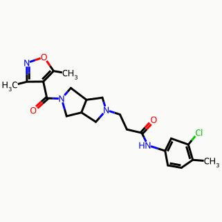 Cc1ccc(NC(=O)CCN2CC3CN(C(=O)c4c(C)noc4C)CC3C2)cc1Cl